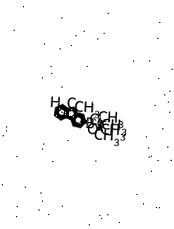 CC1(C)c2ccccc2-c2ccc(B3OC(C)(C)C(C)(C)O3)cc21